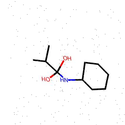 CC(C)C(O)(O)NC1CCCCC1